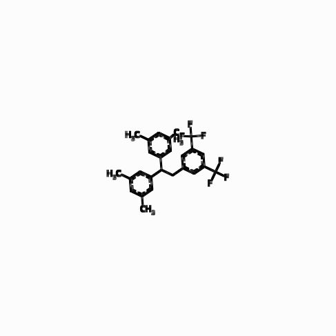 Cc1cc(C)cc(C(Cc2cc(C(F)(F)F)cc(C(F)(F)F)c2)c2cc(C)cc(C)c2)c1